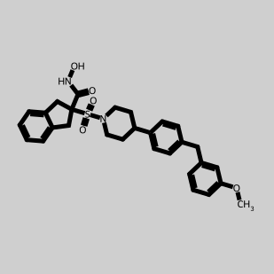 COc1cccc(Cc2ccc(C3CCN(S(=O)(=O)C4(C(=O)NO)Cc5ccccc5C4)CC3)cc2)c1